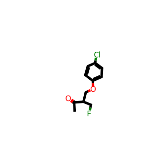 CC(=O)C(CF)COc1ccc(Cl)cc1